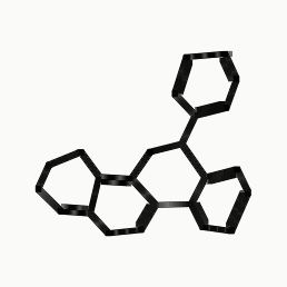 [c]1ccc(C2CC3=C4CCCC=C4CC=C3c3ccccc32)cc1